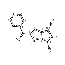 O=C(c1ccccc1)c1cc2c(Br)sc(Br)c2s1